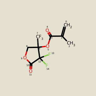 C=C(C)C(=O)OC1(C(F)(F)F)COC(=O)C1(F)F